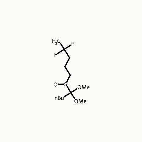 CCCCC(OC)(OC)[S+]([O-])CCCC(F)(F)C(F)(F)F